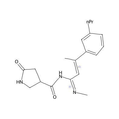 CCCc1cccc(/C(C)=C/C(=N\C)NC(=O)C2CNC(=O)C2)c1